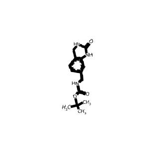 CC(C)(C)OC(=O)NCc1ccc2c(c1)NC(=O)NC2